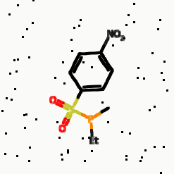 CCP(C)S(=O)(=O)c1ccc([N+](=O)[O-])cc1